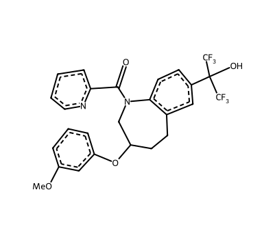 COc1cccc(OC2CCc3cc(C(O)(C(F)(F)F)C(F)(F)F)ccc3N(C(=O)c3ccccn3)C2)c1